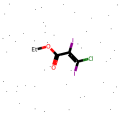 CCOC(=O)C(I)=C(Cl)I